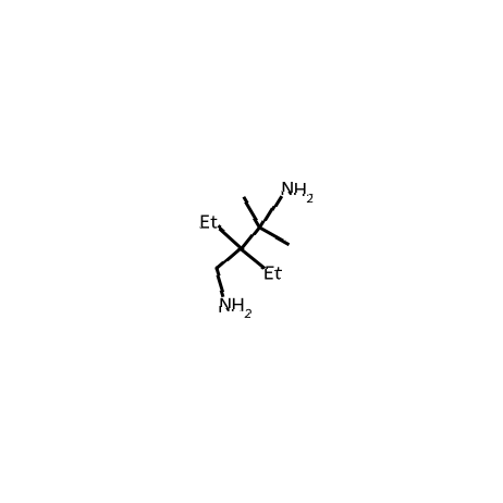 CCC(CC)(CN)C(C)(C)N